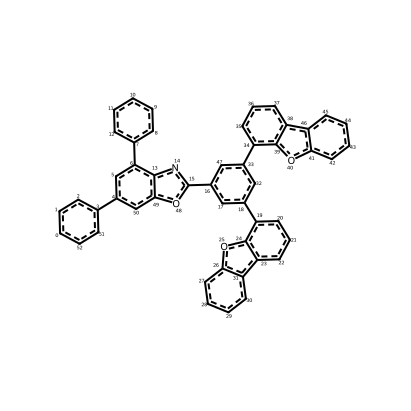 c1ccc(-c2cc(-c3ccccc3)c3nc(-c4cc(-c5cccc6c5oc5ccccc56)cc(-c5cccc6c5oc5ccccc56)c4)oc3c2)cc1